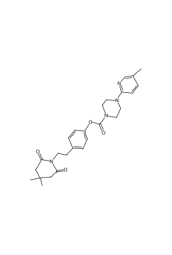 Cc1ccc(N2CCN(C(=O)Oc3ccc(CCN4C(=O)CC(C)(C)CC4=O)cc3)CC2)nc1